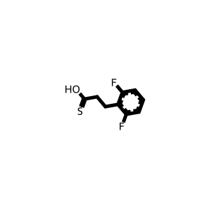 OC(=S)CCc1c(F)cccc1F